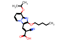 CCCCCOc1nc2c(OC(C)C)cccn2c1C=C(C#N)C(=O)O